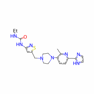 CCNC(=O)Nc1cc(CN2CCN(c3ccc(-c4ncc[nH]4)nc3C)CC2)sn1